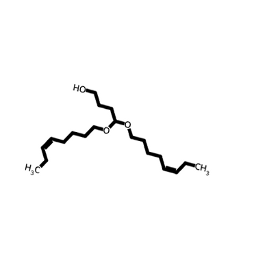 CC/C=C\CCCCOC(CCCO)OCCCC/C=C\CC